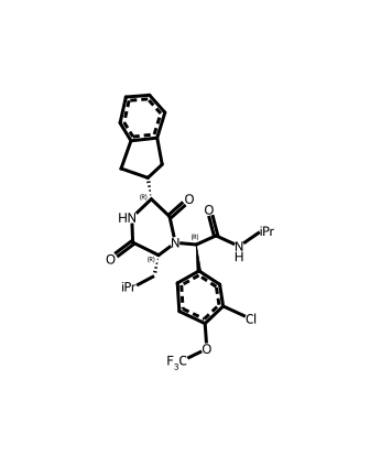 CC(C)C[C@@H]1C(=O)N[C@H](C2Cc3ccccc3C2)C(=O)N1[C@@H](C(=O)NC(C)C)c1ccc(OC(F)(F)F)c(Cl)c1